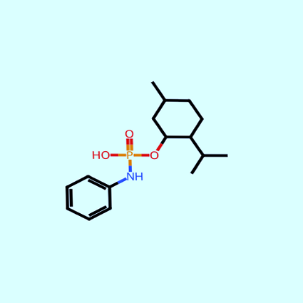 CC1CCC(C(C)C)C(OP(=O)(O)Nc2ccccc2)C1